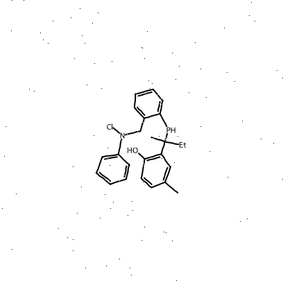 CCC(C)(Pc1ccccc1CN(Cl)c1ccccc1)c1cc(C)ccc1O